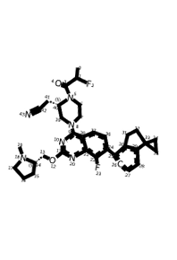 CC(F)C(=O)N1CCN(c2nc(OC[C@@H]3CCCN3C)nc3c(F)c(-c4cccc5c4CCC54CC4)ccc23)C[C@@H]1CC#N